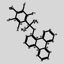 CC(C)(C)c1c(F)c(F)c(C(C)(C)Cc2cccc3c4ccccc4c4ccccc4c23)c(F)c1F